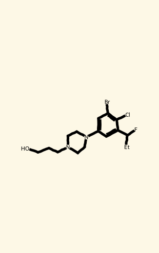 CCC(F)c1cc(N2CCN(CCCO)CC2)cc(Br)c1Cl